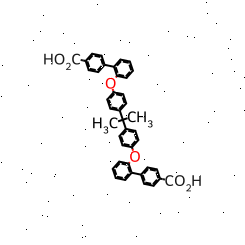 CC(C)(c1ccc(Oc2ccccc2-c2ccc(C(=O)O)cc2)cc1)c1ccc(Oc2ccccc2-c2ccc(C(=O)O)cc2)cc1